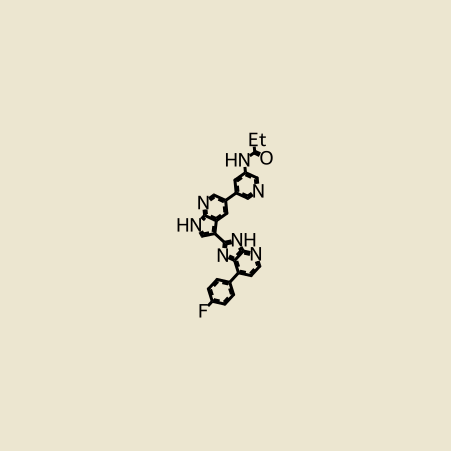 CCC(=O)Nc1cncc(-c2cnc3[nH]cc(-c4nc5c(-c6ccc(F)cc6)ccnc5[nH]4)c3c2)c1